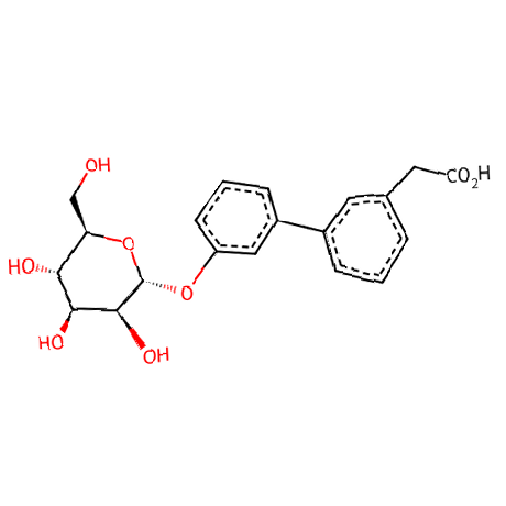 O=C(O)Cc1cccc(-c2cccc(O[C@H]3O[C@H](CO)[C@@H](O)[C@H](O)[C@@H]3O)c2)c1